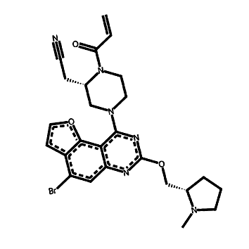 C=CC(=O)N1CCN(c2nc(OC[C@@H]3CCCN3C)nc3cc(Br)c4ccoc4c23)C[C@@H]1CC#N